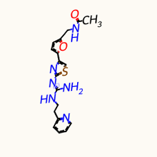 CC(=O)NCc1ccc(-c2csc(/N=C(\N)NCCc3ccccn3)n2)o1